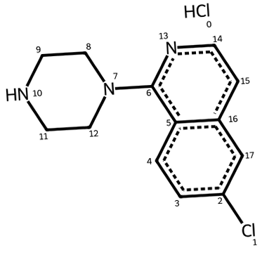 Cl.Clc1ccc2c(N3CCNCC3)nccc2c1